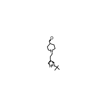 CC(C)(C)n1cc(CCN2CCC(C=O)CC2)cn1